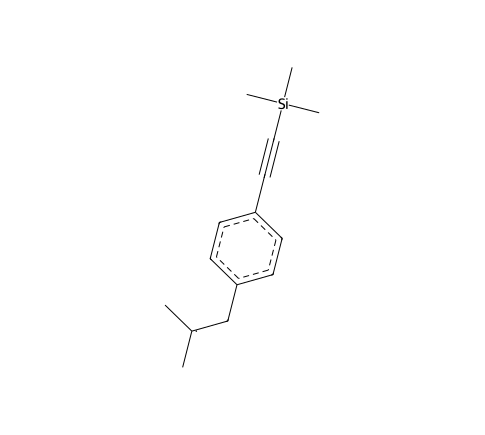 C[C](C)Cc1ccc(C#C[Si](C)(C)C)cc1